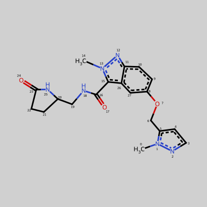 Cn1nccc1COc1ccc2nn(C)c(C(=O)NCC3CCC(=O)N3)c2c1